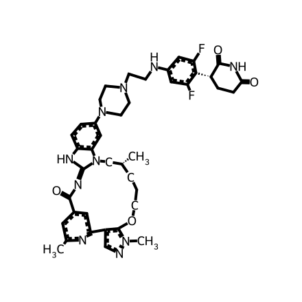 Cc1cc2cc(n1)-c1cnn(C)c1OCCC[C@@H](C)CN1/C(=N/C2=O)Nc2ccc(N3CCN(CCNc4cc(F)c([C@H]5CCC(=O)NC5=O)c(F)c4)CC3)cc21